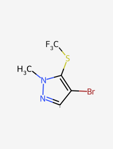 Cn1n[c]c(Br)c1SC(F)(F)F